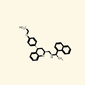 C[C@@H](NC[C@@H]1C[C@@H](c2ccc(OCC(=O)O)cc2)c2ccccc2O1)c1cccc2ccccc12